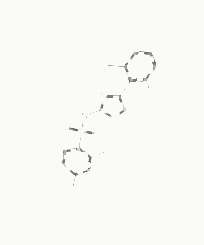 Cc1cc(Cl)cc(Cl)c1S(=O)(=O)Nc1nc(-c2c(F)cccc2Cl)cs1